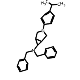 CC(C)c1ccc(N2CC3C(C2)C3N(Cc2ccccc2)Cc2ccccc2)cc1